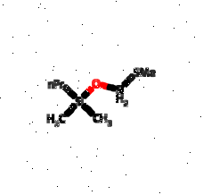 CCC[Si](C)(C)O[SiH2]SC